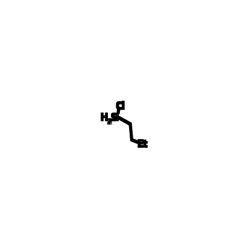 CCCC[SiH2]Cl